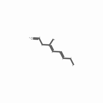 CC/C=C/C=C(\C)C[C]=O